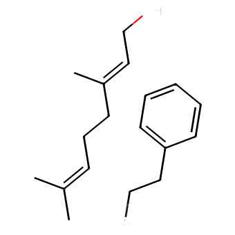 CC(=O)CCc1ccccc1.CC(C)=CCC/C(C)=C/CO